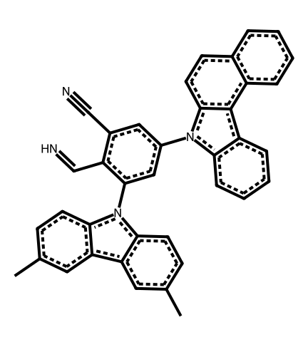 Cc1ccc2c(c1)c1cc(C)ccc1n2-c1cc(-n2c3ccccc3c3c4ccccc4ccc32)cc(C#N)c1C=N